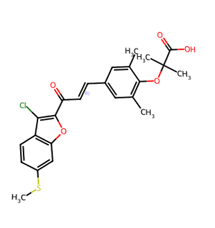 CSc1ccc2c(Cl)c(C(=O)/C=C/c3cc(C)c(OC(C)(C)C(=O)O)c(C)c3)oc2c1